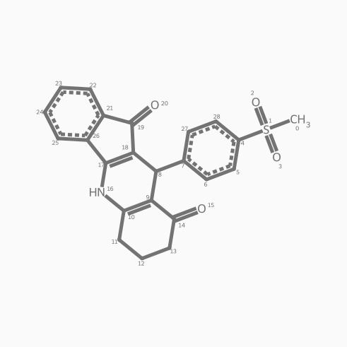 CS(=O)(=O)c1ccc(C2C3=C(CCCC3=O)NC3=C2C(=O)c2ccccc23)cc1